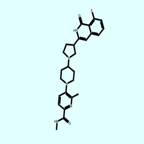 CNC(=O)c1ccc(N2CCC(N3CCC(c4cc5cccc(F)c5c(=O)[nH]4)C3)CC2)c(C)n1